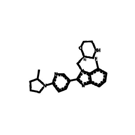 CC1CCCN1c1ccc(-c2nc3cccc(F)c3n2C[C@@H]2CNCCO2)cn1